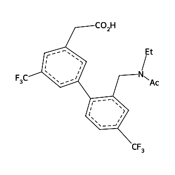 CCN(Cc1cc(C(F)(F)F)ccc1-c1cc(CC(=O)O)cc(C(F)(F)F)c1)C(C)=O